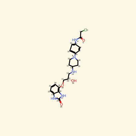 O=C(CCl)Nc1ccc(N2CCC(NC[C@H](O)COc3cccc4[nH]c(=O)[nH]c34)CC2)cc1